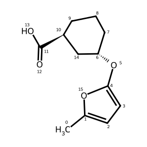 Cc1ccc(O[C@H]2CCC[C@H](C(=O)O)C2)o1